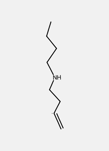 C=[C]CCNCCCC